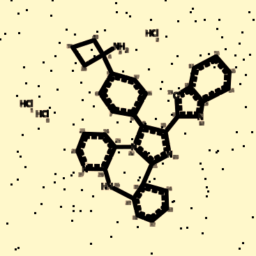 Cl.Cl.Cl.NC1(c2ccc(-c3c(-c4nc5ccccc5o4)nc4n3-c3cccnc3Nc3ccccc3-4)cc2)CCC1